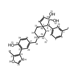 Cc1cccc(N2[C@]3(C=CS2(O)O)CCN(Cc2ccc(O)c(-c4ncoc4C)c2)[C@@H](C)C3)n1